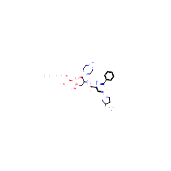 CCOC(=O)OC(OC(=O)OCC)O[PH](=O)CC(NC(=O)c1cc(N2CCC(OC)C2)nc(-c2ccccc2)n1)C(=O)N1CCN(C(=O)OCC)CC1